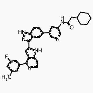 Cc1cc(F)cc(-c2nccc3[nH]c(-c4n[nH]c5ccc(-c6cncc(NC(=O)CC7CCCCC7)c6)cc45)cc23)c1